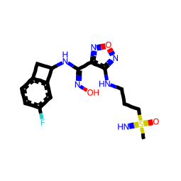 CS(=N)(=O)CCCNc1nonc1C(=NO)NC1Cc2ccc(F)cc21